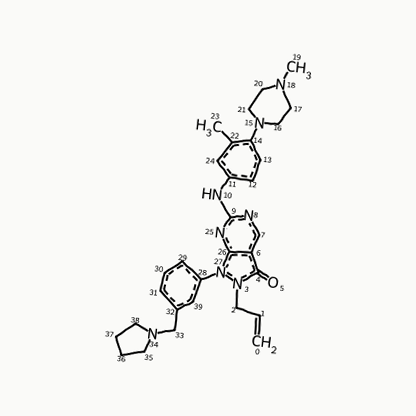 C=CCn1c(=O)c2cnc(Nc3ccc(N4CCN(C)CC4)c(C)c3)nc2n1-c1cccc(CN2CCCC2)c1